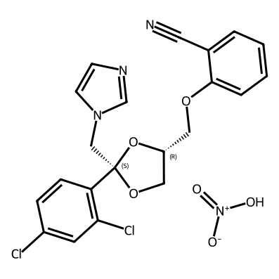 N#Cc1ccccc1OC[C@@H]1CO[C@@](Cn2ccnc2)(c2ccc(Cl)cc2Cl)O1.O=[N+]([O-])O